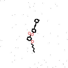 CCCCCCOc1cccc(C(=O)Oc2ccc(C#Cc3ccccc3)cc2)c1